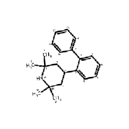 CC1(C)CC(c2ccccc2-c2ccccc2)CC(C)(C)N1